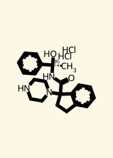 C[C@](O)(NC(=O)C1(N2CCNCC2)CCc2ccccc21)c1ccccc1.Cl.Cl